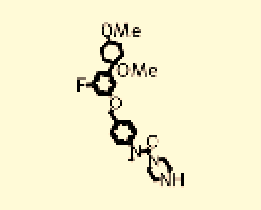 CO[C@H]1CC[C@](OC)(c2cc(F)cc(OCc3ccc(N(C)C(=O)N4CCNCC4)cc3)c2)CC1